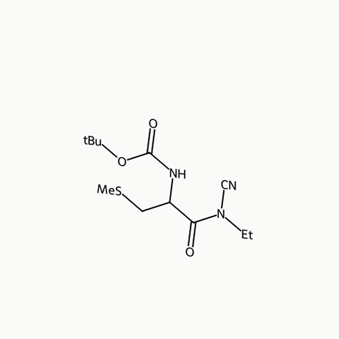 CCN(C#N)C(=O)C(CSC)NC(=O)OC(C)(C)C